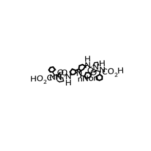 CCCCCCCCCC(c1ccccc1)n1c2cc(NC(=O)[C@@H]3CCCN3C(=O)C(NC(=O)O)c3ccccc3)ccc2c2ccc(NC(=O)[C@@H]3CCCN3C(=O)C(NC(=O)O)c3ccccc3)cc21